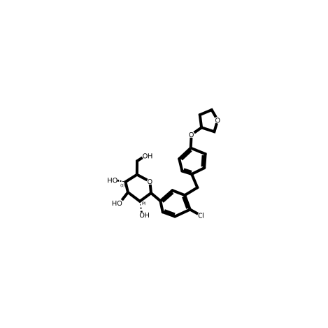 OCC1OC(c2ccc(Cl)c(Cc3ccc(OC4CCOC4)cc3)c2)[C@H](O)C(O)[C@@H]1O